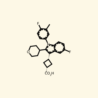 Cc1cc(-n2c(C3CCOCC3)c([C@H]3C[C@@H](C(=O)O)C3)c3cc(F)ccc32)ccc1F